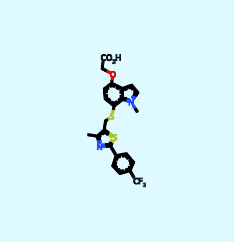 Cc1nc(-c2ccc(C(F)(F)F)cc2)sc1CSc1ccc(OCC(=O)O)c2ccn(C)c12